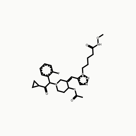 CONC(=O)CCCCn1nncc1C=C1CN(C(C(=O)C2CC2)c2ccccc2F)CCC1SC(C)=O